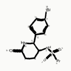 CC(C)S(=O)(=O)NC1CCC(=O)NC1c1ccc(C(C)(C)C)cc1